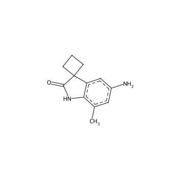 Cc1cc(N)cc2c1NC(=O)C21CCC1